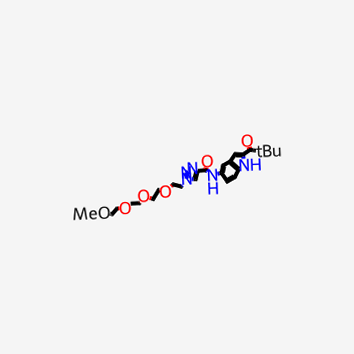 COCCOCCOCCOCCn1cc(C(=O)Nc2ccc3[nH]c(C(=O)C(C)(C)C)cc3c2)nn1